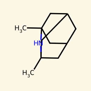 CC12CC3CC(C1)CC(C)(C3)N2